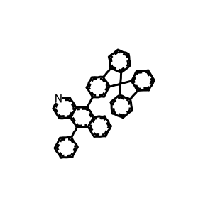 c1ccc(-c2c3ccccc3c(-c3ccc4c(c3)C3(c5ccccc5-c5ccccc53)c3ccccc3-4)c3cnccc23)cc1